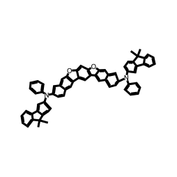 CC1(C)c2ccccc2-c2cc(N(c3ccccc3)c3ccc4cc5c(cc4c3)oc3cc4oc6cc7cc(N(c8ccccc8)c8ccc9c(c8)-c8ccccc8C9(C)C)ccc7cc6c4cc35)ccc21